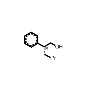 C[C](C)C[C@@H](CO)c1ccccc1